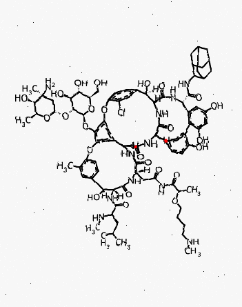 CNCCCCOC(C)C(=O)NC(=O)C[C@@H]1NC(=O)[C@H](NC(=O)[C@@H](CC(C)C)NC)[C@H](O)c2ccc(c(C)c2)Oc2cc3cc(c2O[C@@H]2O[C@H](CO)[C@@H](O)[C@H](O)[C@H]2O[C@H]2C[C@](C)(N)[C@H](O)[C@H](C)O2)Oc2ccc(cc2Cl)[C@@H](O)[C@@H]2NC(=O)[C@H](NC(=O)[C@@H]3NC1=O)c1ccc(O)c(c1)-c1c(O)cc(O)cc1[C@@H](C(=O)NC1C3CC4CC(C3)CC1C4)NC2=O